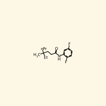 CCCC(C)(CC)CCC(=O)Nc1cc(F)ccc1F